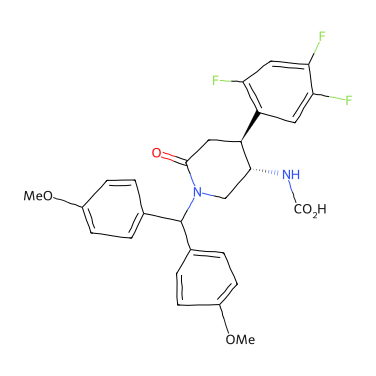 COc1ccc(C(c2ccc(OC)cc2)N2C[C@@H](NC(=O)O)[C@H](c3cc(F)c(F)cc3F)CC2=O)cc1